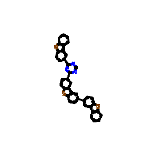 c1ccc2c(c1)sc1ccc(-c3ccc4sc5ccc(-c6ncnc(-c7ccc8sc9ccccc9c8c7)n6)cc5c4c3)cc12